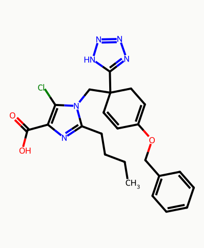 CCCCc1nc(C(=O)O)c(Cl)n1CC1(c2nnn[nH]2)C=CC(OCc2ccccc2)=CC1